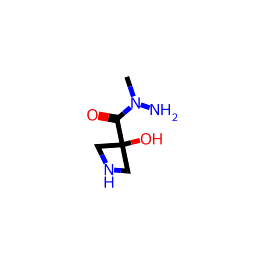 CN(N)C(=O)C1(O)CNC1